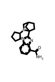 NC(=O)c1cccc2[nH]c(C34CCC(CN3C3CCCC3)C4)nc12